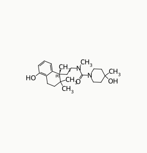 CN(CC[C@@]1(C)c2cccc(O)c2CCC1(C)C)C(=O)N1CCC(C)(O)CC1